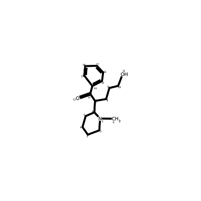 CN1CCCCC1C(CCCO)C(=O)c1ccccc1